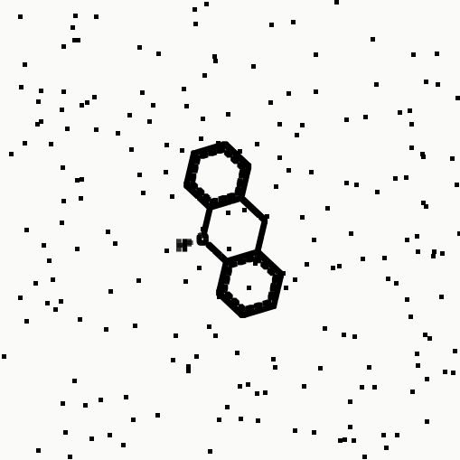 [H+].c1ccc2c(c1)Cc1ccccc1O2